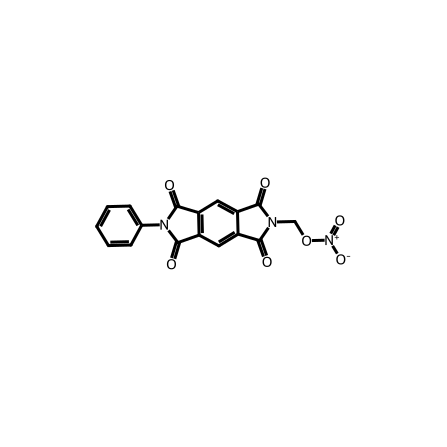 O=c1c2cc3c(=O)n(-c4ccccc4)c(=O)c3cc2c(=O)n1CO[N+](=O)[O-]